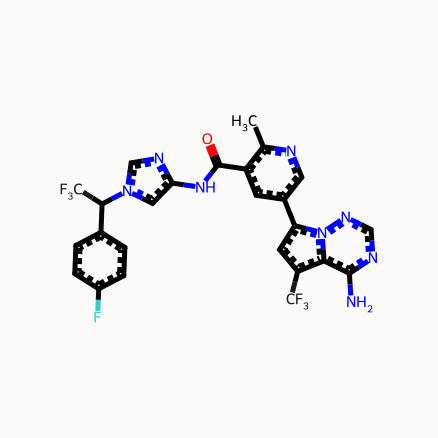 Cc1ncc(-c2cc(C(F)(F)F)c3c(N)ncnn23)cc1C(=O)Nc1cn(C(c2ccc(F)cc2)C(F)(F)F)cn1